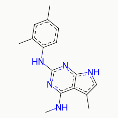 CNc1nc(Nc2ccc(C)cc2C)nc2[nH]cc(C)c12